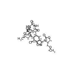 COCC1COC(=O)N1c1noc2c(Cl)c3c(cc12)CC1(C(=O)NC(=O)NC1=O)[C@H]1[C@H](C)O[C@H](C)CN31